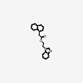 O=C(Cc1cccc2ccccc12)OCCn1cnc2ccccc21